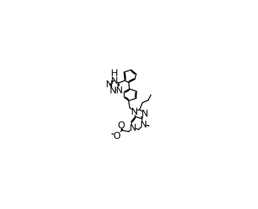 CCCC1N=C2C(=CN(CC(=O)OC)CN2C)N1Cc1ccc(-c2ccccc2-c2nnn[nH]2)cc1